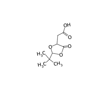 CC(C)(C)C1OC(=O)C(CC(=O)O)O1